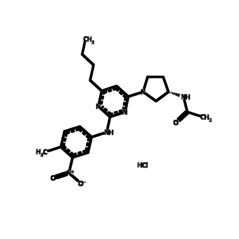 CCCCc1cc(N2CC[C@H](NC(C)=O)C2)nc(Nc2ccc(C)c([N+](=O)[O-])c2)n1.Cl